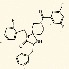 O=C(c1cc(F)cc(F)c1)N1CCC2(CC1)NC(Cc1ccccc1)C(=O)N2Cc1ccccc1F